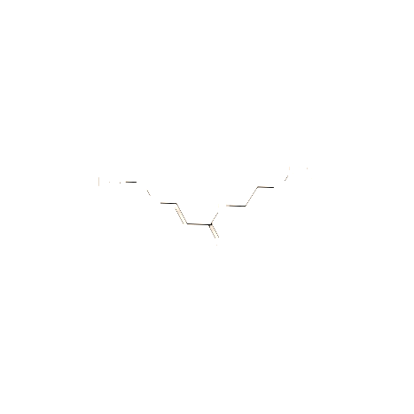 CCCCCCOOC=CC(=O)OCCOC(=O)O